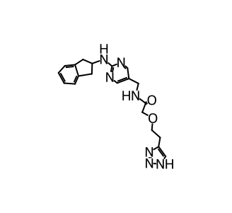 O=C(COCCc1c[nH]nn1)NCc1cnc(NC2Cc3ccccc3C2)nc1